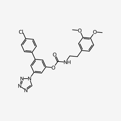 COc1ccc(CCNC(=O)Oc2cc(-c3ccc(Cl)cc3)cc(-n3cnnn3)c2)cc1OC